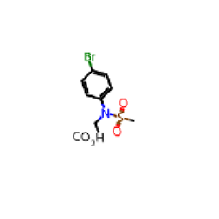 CS(=O)(=O)N(CC(=O)O)c1ccc(Br)cc1